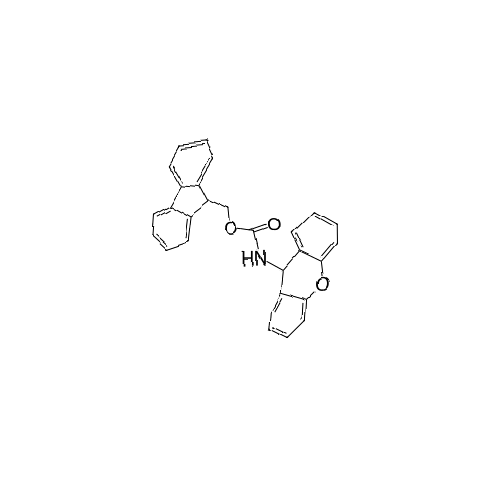 O=C(NC1c2ccccc2Oc2ccccc21)OCC1c2ccccc2-c2ccccc21